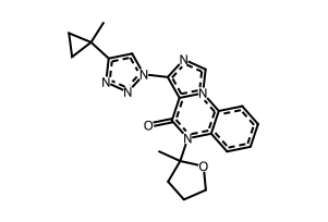 CC1(c2cn(-c3ncn4c3c(=O)n(C3(C)CCCO3)c3ccccc34)nn2)CC1